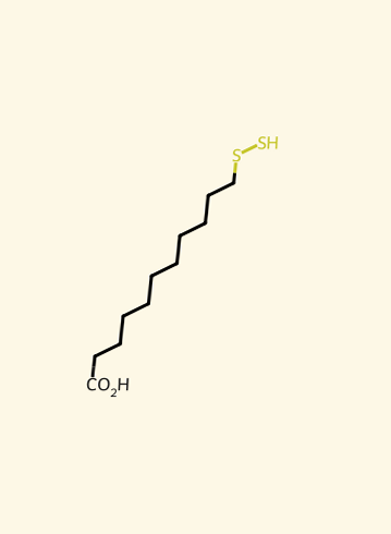 O=C(O)CCCCCCCCCCSS